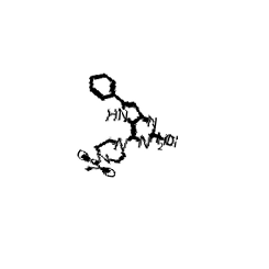 Cc1nc(N2CCN(S(C)(=O)=O)CC2)c2[nH]c(-c3ccccc3)cc2n1.Cl.O